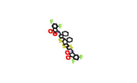 O=C1C(=O)c2c(F)cc(F)cc2/C1=C/c1cc2sc3c(c2s1)C1(CCCCC1)c1c-3sc2c1C1(CCCCC1)C(/C=C1\C(=O)C(=O)c3cc(F)cc(F)c31)=C2